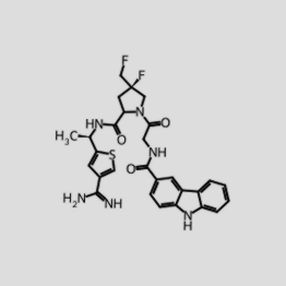 C[C@@H](NC(=O)C1C[C@](F)(CF)CN1C(=O)CNC(=O)c1ccc2[nH]c3ccccc3c2c1)c1cc(C(=N)N)cs1